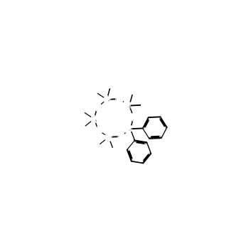 C[Si]1(C)O[Si](C)(C)O[Si](C)(C)O[Si](c2ccccc2)(c2ccccc2)O[Si](C)(C)O1